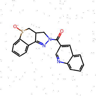 O=C(c1cnc2ccccc2c1)N1CC2C[S+]([O-])c3ccccc3C2=N1